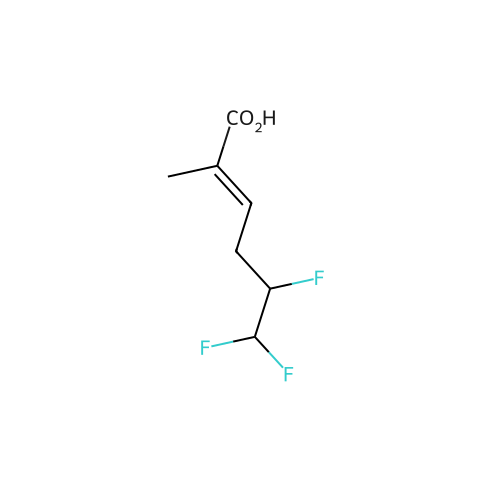 CC(=CCC(F)C(F)F)C(=O)O